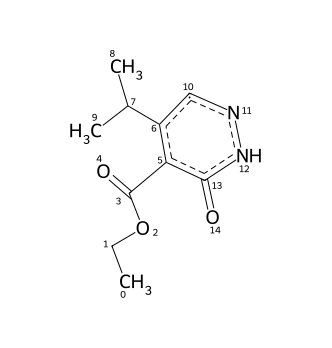 CCOC(=O)c1c(C(C)C)[c]n[nH]c1=O